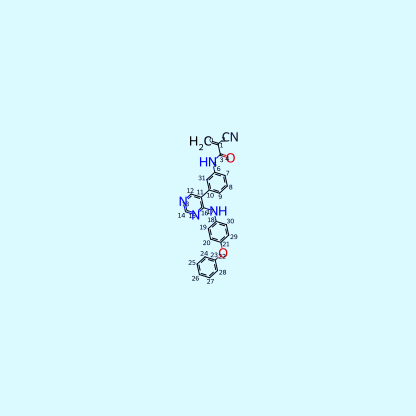 C=C(C#N)C(=O)Nc1cccc(-c2cncnc2Nc2ccc(Oc3ccccc3)cc2)c1